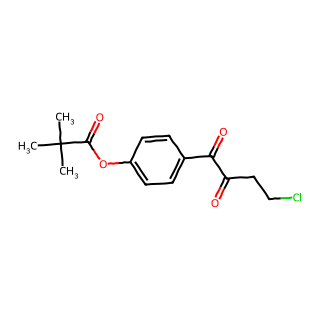 CC(C)(C)C(=O)Oc1ccc(C(=O)C(=O)CCCl)cc1